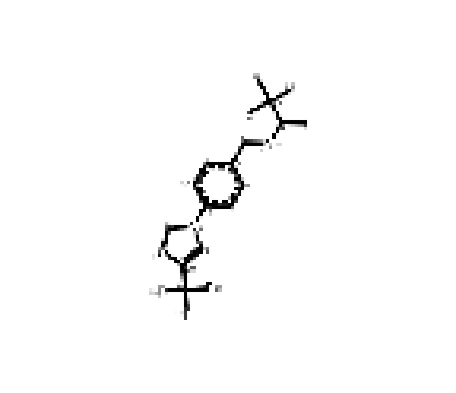 CC(NCc1ccc(N2C=C(C(F)(F)F)OC2)cc1)C(C)(C)C